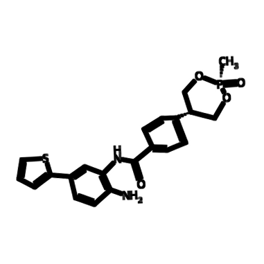 C[P@]1(=O)OC[C@H](c2ccc(C(=O)Nc3cc(-c4cccs4)ccc3N)cc2)CO1